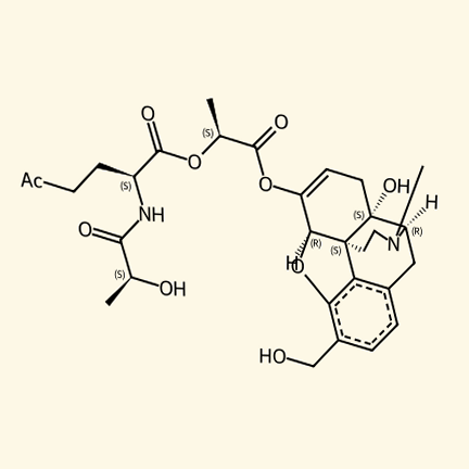 CC(=O)CC[C@H](NC(=O)[C@H](C)O)C(=O)O[C@@H](C)C(=O)OC1=CC[C@@]2(O)[C@H]3Cc4ccc(CO)c5c4[C@@]2(CCN3C)[C@H]1O5